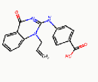 C=CCn1c(Nc2ccc(C(=O)O)cc2)nc(=O)c2ccccc21